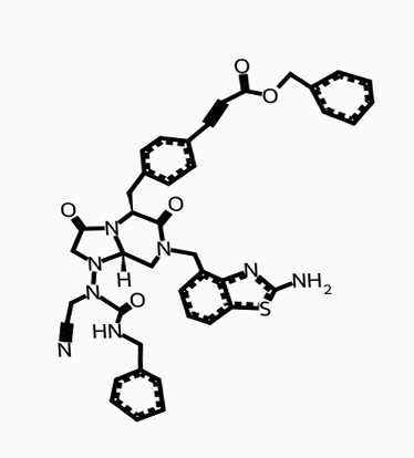 N#CCN(C(=O)NCc1ccccc1)N1CC(=O)N2[C@@H](Cc3ccc(C#CC(=O)OCc4ccccc4)cc3)C(=O)N(Cc3cccc4sc(N)nc34)C[C@@H]21